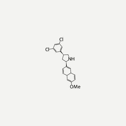 COC1=CC2C=CC([C@H]3C[C@@H](c4cc(Cl)cc(Cl)c4)CN3)=CC2C=C1